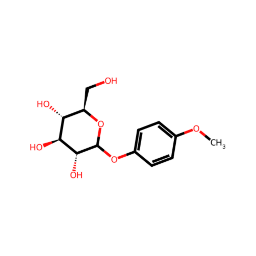 COc1ccc(OC2O[C@H](CO)[C@@H](O)[C@H](O)[C@H]2O)cc1